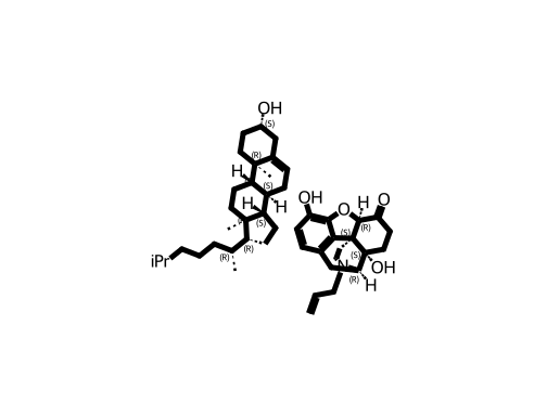 C=CCN1CC[C@]23c4c5ccc(O)c4O[C@H]2C(=O)CC[C@@]3(O)[C@H]1C5.CC(C)CCC[C@@H](C)[C@H]1CC[C@H]2[C@@H]3CC=C4C[C@@H](O)CC[C@]4(C)[C@H]3CC[C@]12C